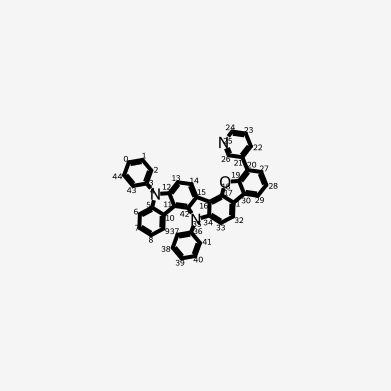 c1ccc(-n2c3ccccc3c3c2ccc2c4c5oc6c(-c7cccnc7)cccc6c5ccc4n(-c4ccccc4)c23)cc1